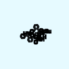 CC(C)(C)[Si](C)(C)OC(c1ccccc1COC(=O)NC(c1ccccc1)c1ccccc1)C(CCC(=O)O)OC1CC(=O)N1